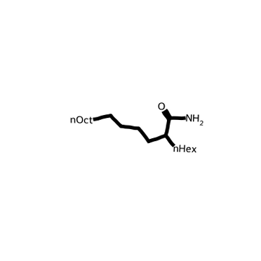 CCCCCCCCCCCCC(CCCCCC)C(N)=O